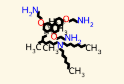 CCCCCCCCN(CCCCCCCC)CCCC(C)C(CC)CC[C@@H]1C[C@@H](OCCCN)C[C@H]2C1[C@H](OCCCN)CC1C[C@H](OCCCN)CC[C@@]12C